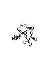 O=S(O)OS(=O)O.O=S([O-])S(=O)(=O)[O-].[Na+].[Na+]